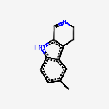 Cc1ccc2[nH]c3c(c2c1)CCN=C3